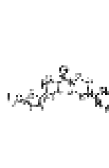 Cc1ccc(-c2ccc(C(=O)N3CCN(c4ncccn4)CC3)cn2)s1